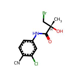 [C-]#[N+]c1ccc(NC(=O)[C@@](C)(O)CBr)cc1Cl